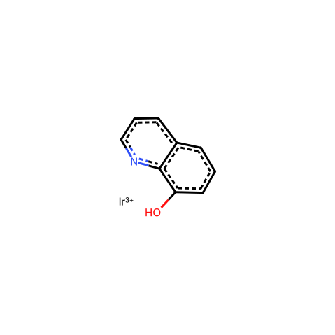 Oc1cccc2cccnc12.[Ir+3]